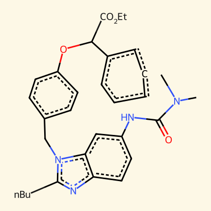 CCCCc1nc2ccc(NC(=O)N(C)C)cc2n1Cc1ccc(OC(C(=O)OCC)c2ccccc2)cc1